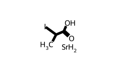 CC(I)C(=O)O.[SrH2]